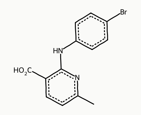 Cc1ccc(C(=O)O)c(Nc2ccc(Br)cc2)n1